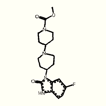 COC(=O)N1CCC(N2CCC(n3c(=O)[nH]c4ccc(F)cc43)CC2)CC1